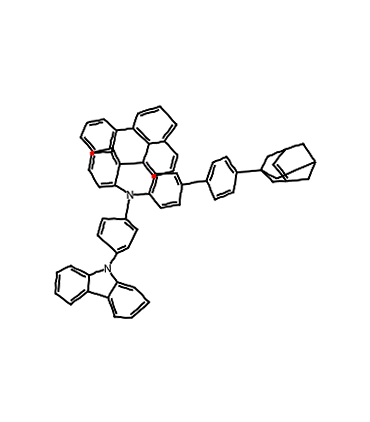 C1=C2CC3CC1CC(c1ccc(-c4ccc(N(c5ccc(-n6c7ccccc7c7ccccc76)cc5)c5ccccc5-c5cccc6cccc(-c7ccccc7)c56)cc4)cc1)(C2)C3